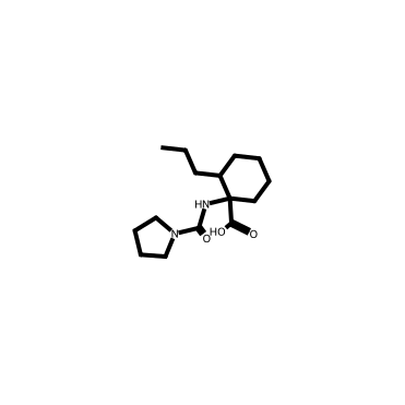 CCCC1CCCCC1(NC(=O)N1CCCC1)C(=O)O